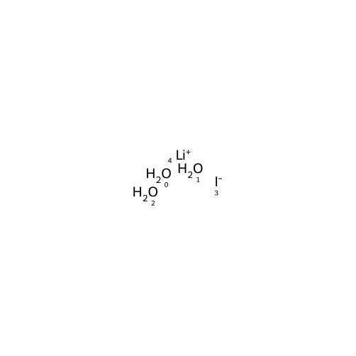 O.O.O.[I-].[Li+]